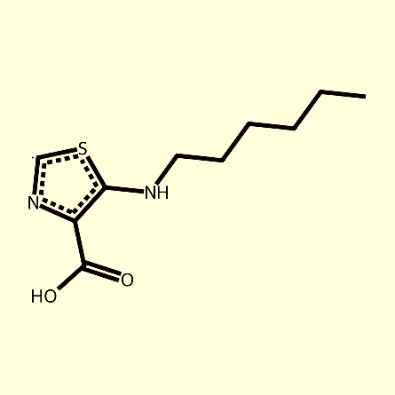 CCCCCCNc1s[c]nc1C(=O)O